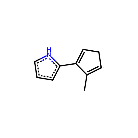 CC1=[C]CC=C1c1ccc[nH]1